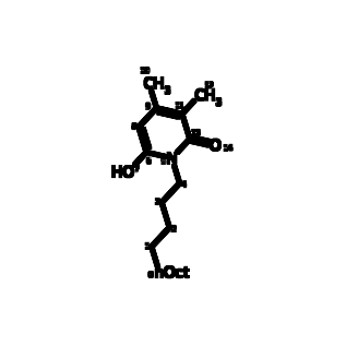 CCCCCCCCCCCCn1c(O)cc(C)c(C)c1=O